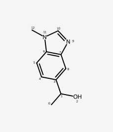 CC(O)c1ccc2c(c1)ncn2C